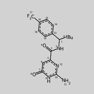 CC(C)(C)C(NC(=O)c1cc(=O)[nH]c(N)n1)c1ccc(C(F)(F)F)cc1